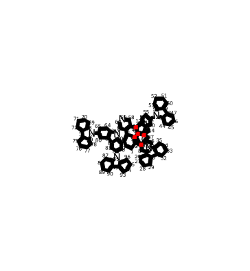 c1cc(-c2ccncc2)c(-c2ccncc2)c(-c2c(-n3c4ccc(-n5c6ccccc6c6ccccc65)cc4c4cc(-n5c6ccccc6c6ccccc65)ccc43)cncc2-n2c3ccc(-n4c5ccccc5c5ccccc54)cc3c3cc(-n4c5ccccc5c5ccccc54)ccc32)c1